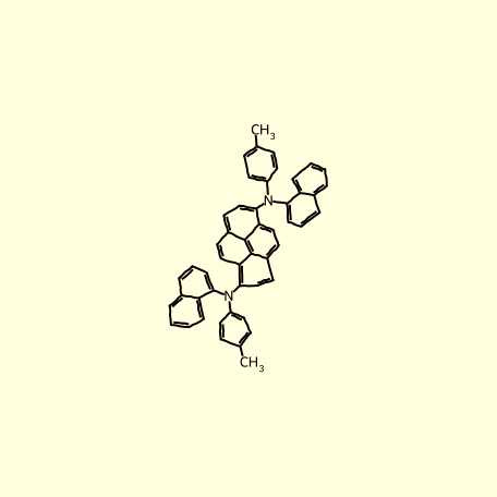 Cc1ccc(N(c2cccc3ccccc23)c2ccc3ccc4c(N(c5ccc(C)cc5)c5cccc6ccccc56)ccc5ccc2c3c54)cc1